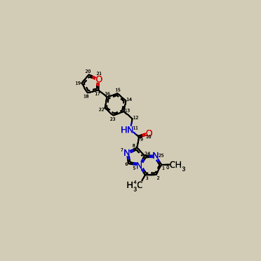 Cc1cc(C)n2cnc(C(=O)NCc3ccc(-c4ccco4)cc3)c2n1